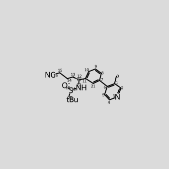 Cc1cnccc1-c1cccc([C@H](CCCC#N)N[S+]([O-])C(C)(C)C)c1